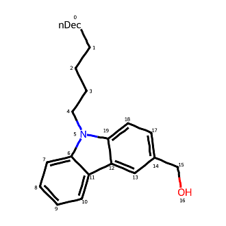 CCCCCCCCCCCCCCn1c2ccccc2c2cc(CO)ccc21